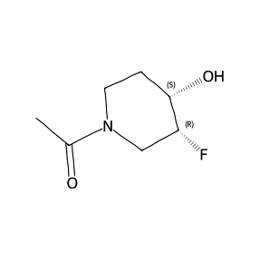 CC(=O)N1CC[C@H](O)[C@H](F)C1